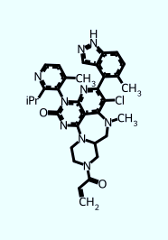 C=CC(=O)N1CCN2c3nc(=O)n(-c4c(C)ccnc4C(C)C)c4nc(-c5c(C)ccc6[nH]ncc56)c(Cl)c(c34)N(C)CC2C1